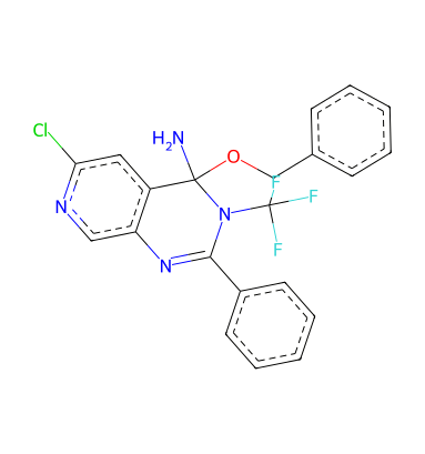 NC1(OCc2ccccc2)c2cc(Cl)ncc2N=C(c2ccccc2)N1C(F)(F)F